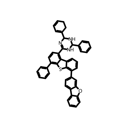 C1=CCCC(C2N=C(c3ccc(-c4ccccc4)c4sc5c(-c6ccc7c(c6)oc6ccccc67)cccc5c34)NC(c3ccccc3)N2)=C1